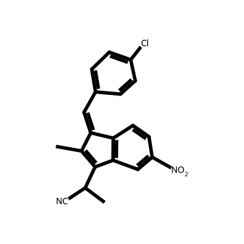 CC1=C(C(C)C#N)c2cc([N+](=O)[O-])ccc2C1=Cc1ccc(Cl)cc1